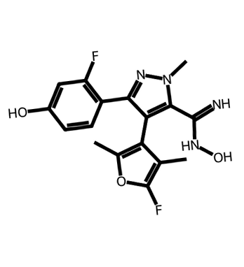 Cc1oc(F)c(C)c1-c1c(-c2ccc(O)cc2F)nn(C)c1C(=N)NO